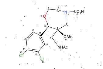 CO[C@]1(CNC(C)=O)CN(C(=O)O)CCO[C@@H]1c1ccc(Cl)c(Cl)c1